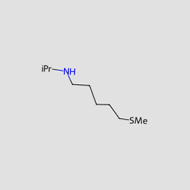 CSCCCCCNC(C)C